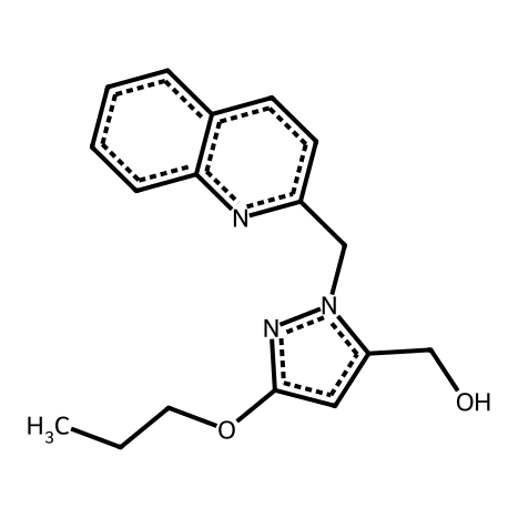 CCCOc1cc(CO)n(Cc2ccc3ccccc3n2)n1